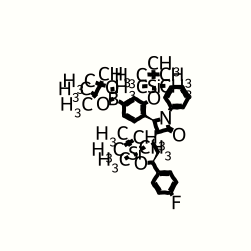 CC1(C)OB(c2ccc([C@@H]3[C@@H](CC[C@H](O[Si](C)(C)C(C)(C)C)c4ccc(F)cc4)C(=O)N3c3ccccc3)c(O[Si](C)(C)C(C)(C)C)c2)OC1(C)C